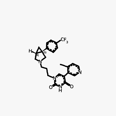 Cc1ccncc1-c1cn(CCCN2C[C@@H]3C[C@]3(c3ccc(C(F)(F)F)cc3)C2)c(=O)[nH]c1=O